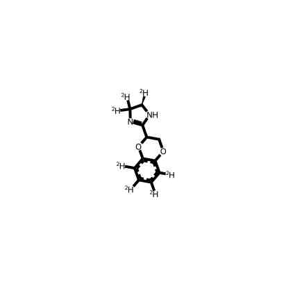 [2H]c1c([2H])c([2H])c2c(c1[2H])OCC(C1=NC([2H])([2H])[C@@H]([2H])N1)O2